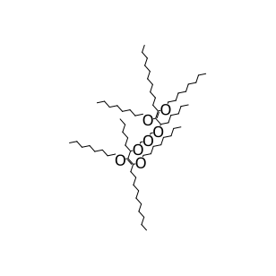 CCCCCCCCCCC(OCCCCCCCC)=C(OCCCCCCCC)C(CCCCC)OCOCOC(CCCCC)C(OCCCCCCCC)=C(CCCCCCCCCC)OCCCCCCCC